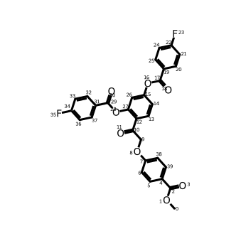 COC(=O)c1ccc(OCC(=O)c2ccc(OC(=O)c3ccc(F)cc3)cc2OC(=O)c2ccc(F)cc2)cc1